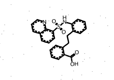 O=C(O)c1ccccc1CCc1ccccc1NS(=O)(=O)c1cccc2cccnc12